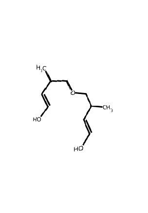 CC(C=CO)COCC(C)C=CO